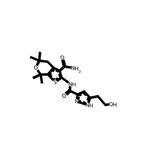 CC1(C)Cc2c(sc(NC(=O)c3cc(CCO)[nH]n3)c2C(N)=O)C(C)(C)O1